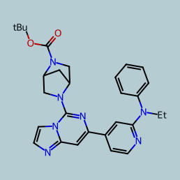 CCN(c1ccccc1)c1cc(-c2cc3nccn3c(N3CC4CC3CN4C(=O)OC(C)(C)C)n2)ccn1